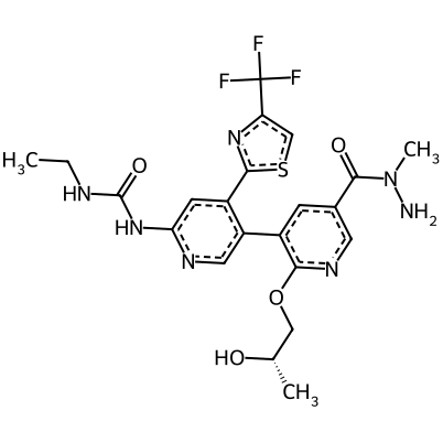 CCNC(=O)Nc1cc(-c2nc(C(F)(F)F)cs2)c(-c2cc(C(=O)N(C)N)cnc2OC[C@H](C)O)cn1